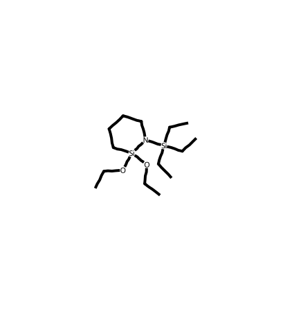 CCO[Si]1(OCC)CCCCN1[Si](CC)(CC)CC